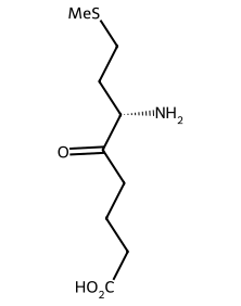 CSCC[C@H](N)C(=O)CCCC(=O)O